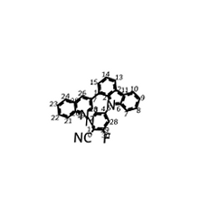 N#Cc1ncc(-n2c3ccccc3c3cccc(-c4cnc5ccccc5c4)c32)cc1F